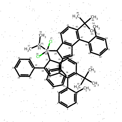 Cc1ccccc1-c1c(C(C)(C)C)ccc2c1C=C(c1ccccc1)[CH]2[Zr]([Cl])([Cl])([CH]1C(c2ccccc2)=Cc2c1ccc(C(C)(C)C)c2-c1ccccc1C)[SiH](C)C